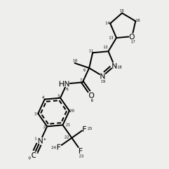 [C-]#[N+]c1ccc(NC(=O)C2(C)CC(C3CCCO3)N=N2)cc1C(F)(F)F